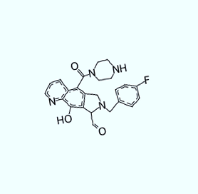 O=CC1c2c(c(C(=O)N3CCNCC3)c3cccnc3c2O)CN1Cc1ccc(F)cc1